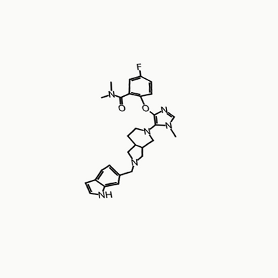 CN(C)C(=O)c1cc(F)ccc1Oc1ncn(C)c1N1CCC2CN(Cc3ccc4cc[nH]c4c3)CC2C1